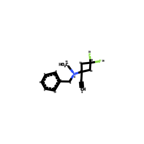 C#CC1(N(Cc2ccccc2)C(=O)O)CC(F)(F)C1